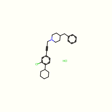 Cl.Clc1cc(C#CCN2CCC(Cc3ccccc3)CC2)ccc1C1CCCCC1